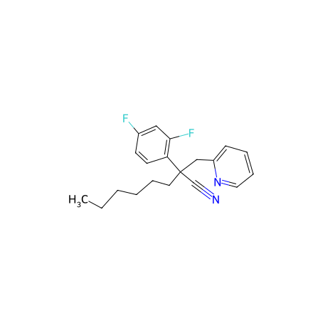 CCCCCCC(C#N)(Cc1ccccn1)c1ccc(F)cc1F